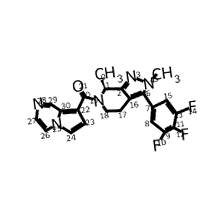 C[C@H]1c2nn(C)c(-c3cc(F)c(F)c(F)c3)c2CCN1C(=O)c1ccn2ccncc12